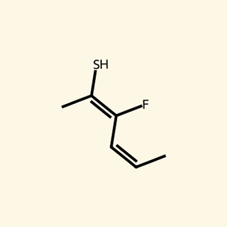 C/C=C\C(F)=C(/C)S